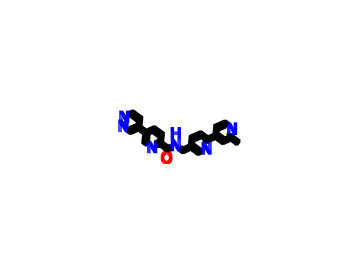 Cc1cc(-c2ccc(CNC(=O)c3ccc(-c4ccnnc4)cn3)cn2)ccn1